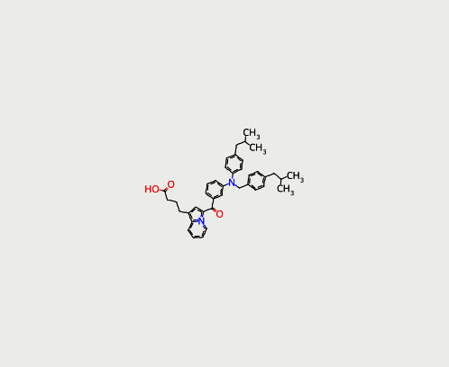 CC(C)Cc1ccc(CN(c2ccc(CC(C)C)cc2)c2cccc(C(=O)c3cc(CCCC(=O)O)c4ccccn34)c2)cc1